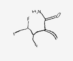 C=C(C(N)=O)C(F)C(F)F